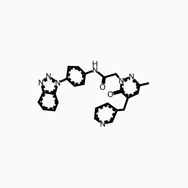 Cc1cc(Cc2cccnc2)c(=O)n(CC(=O)Nc2ccc(-n3nnc4ccccc43)cc2)n1